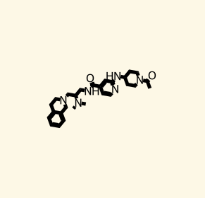 CC(=O)N1CCC(Nc2cc(C(=O)NCC(CN3CCc4ccccc4C3)N(C)C)ccn2)CC1